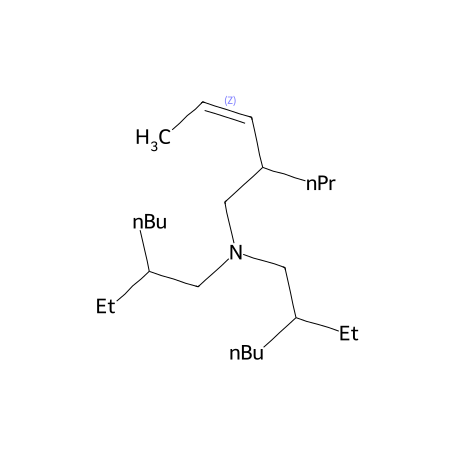 C/C=C\C(CCC)CN(CC(CC)CCCC)CC(CC)CCCC